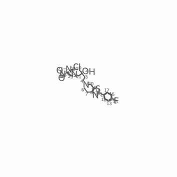 CC(O)(CCN1CCc2nc(-c3ccc(F)cc3)sc2C1)Cn1cc([N+](=O)[O-])nc1Cl